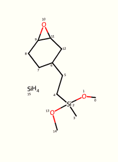 CO[Si](C)(CCC1CCC2OC2C1)OC.[SiH4]